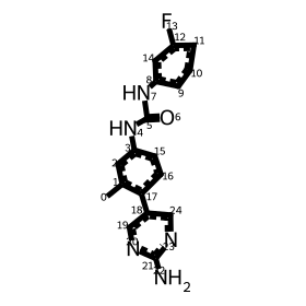 Cc1cc(NC(=O)Nc2cccc(F)c2)ccc1-c1cnc(N)nc1